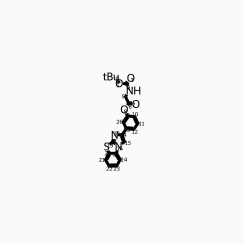 CC(C)(C)OC(=O)NCC(=O)Oc1cccc(-c2cn3c(n2)sc2ccccc23)c1